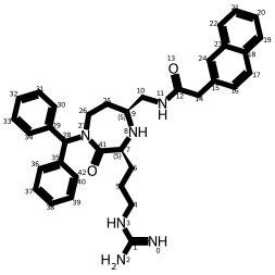 N=C(N)NCCC[C@@H]1N[C@H](CNC(=O)Cc2ccc3ccccc3c2)CCN(C(c2ccccc2)c2ccccc2)C1=O